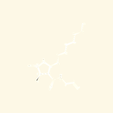 C=CCNC(=O)C1[C@@H](CCCCCCCC)OC(=C)[C@@H]1C